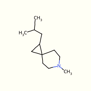 CC(C)CC1CC12CCN(C)CC2